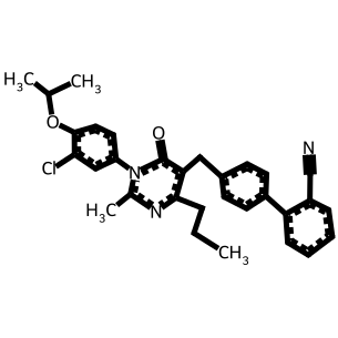 CCCc1nc(C)n(-c2ccc(OC(C)C)c(Cl)c2)c(=O)c1Cc1ccc(-c2ccccc2C#N)cc1